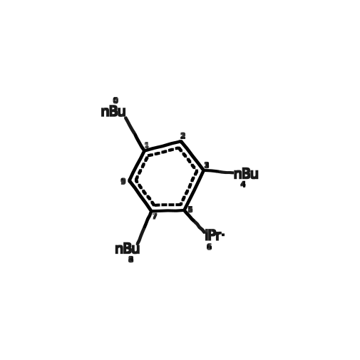 CCCCc1cc(CCCC)c([C](C)C)c(CCCC)c1